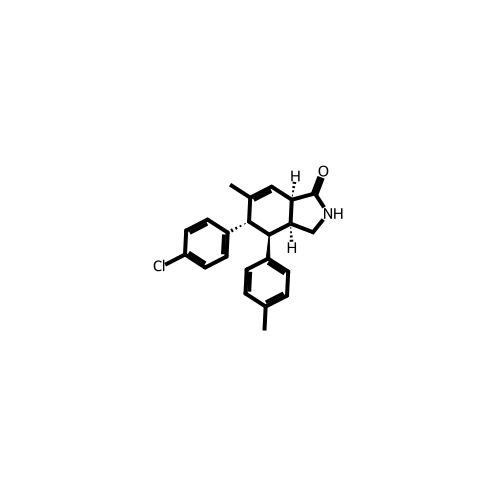 CC1=C[C@H]2C(=O)NC[C@H]2[C@@H](c2ccc(C)cc2)[C@@H]1c1ccc(Cl)cc1